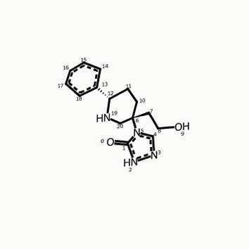 O=c1[nH]ncn1[C@@]1(CCO)CC[C@@H](c2ccccc2)NC1